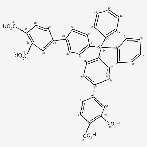 O=C(O)c1ccc(-c2ccc([Si](c3ccccc3)(c3ccccc3)c3ccc(-c4ccc(C(=O)O)c(C(=O)O)c4)cc3)cc2)cc1C(=O)O